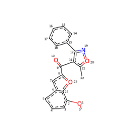 COc1cccc2cc(C(=O)c3c(-c4ccccc4)noc3C)oc12